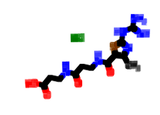 Cc1nc(NC(=N)N)sc1C(=O)NCCC(=O)NCCC(=O)O.Cl